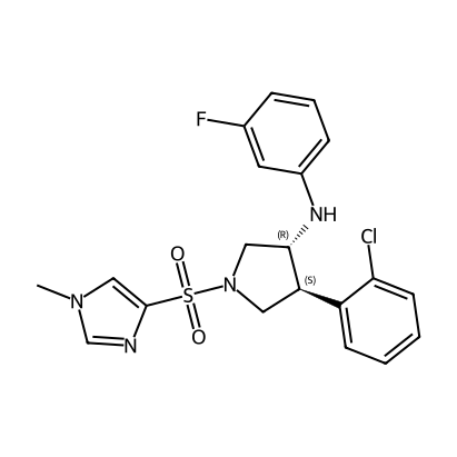 Cn1cnc(S(=O)(=O)N2C[C@H](Nc3cccc(F)c3)[C@@H](c3ccccc3Cl)C2)c1